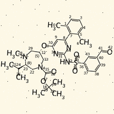 Cc1cccc(C)c1-c1cc(O[C@@H]2CN(C(=O)OC(C)(C)C)C[C@@H](C(C)C)N(C)C2)nc(NS(=O)(=O)c2cccc(C=O)c2)n1